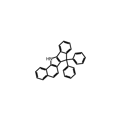 c1ccc(C2(c3ccccc3)c3ccccc3-c3[nH]c4c(ccc5ccccc54)c32)cc1